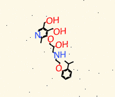 Cc1ncc(CO)c(CO)c1OCC(O)CNCCOc1ccccc1C(C)C